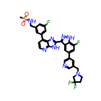 CS(=O)(=O)NCc1cc(F)cc(-c2ccnc3[nH]c(-c4n[nH]c5c(F)cc(-c6cncc(CN7CCC(F)(F)C7)c6)cc45)nc23)c1